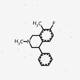 Cc1c(F)ccc2c1CN(C)CC2c1ccccc1